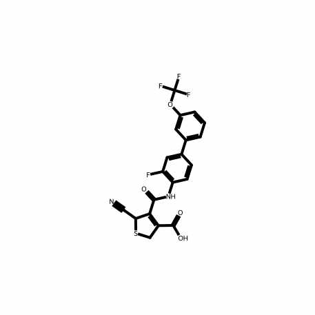 N#CC1SCC(C(=O)O)=C1C(=O)Nc1ccc(-c2cccc(OC(F)(F)F)c2)cc1F